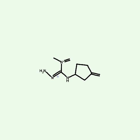 C=C1CCC(N/C(=N/N)[N+](=C)C)C1